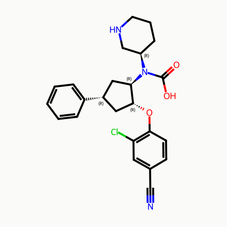 N#Cc1ccc(O[C@@H]2C[C@H](c3ccccc3)C[C@H]2N(C(=O)O)[C@@H]2CCCNC2)c(Cl)c1